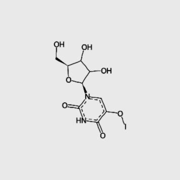 O=c1[nH]c(=O)n([C@H]2O[C@@H](CO)C(O)C2O)cc1OI